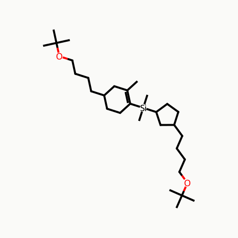 CC1=C([Si](C)(C)C2CCC(CCCCOC(C)(C)C)C2)CCC(CCCCOC(C)(C)C)C1